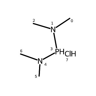 CN(C)PN(C)C.Cl